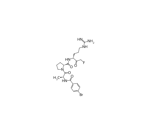 C[C@H](NC(=O)c1ccc(Br)cc1)C(=O)N1CCC[C@H]1C(=O)N[C@@H](CCCNC(=N)N)C(=O)CF